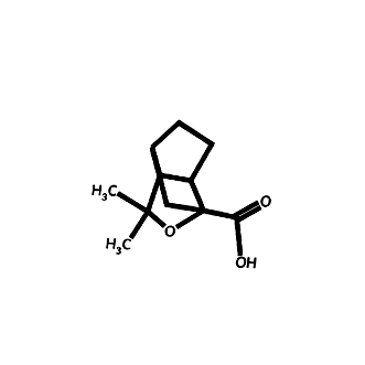 CC1(C)OC2(C(=O)O)CC3CCC2C31